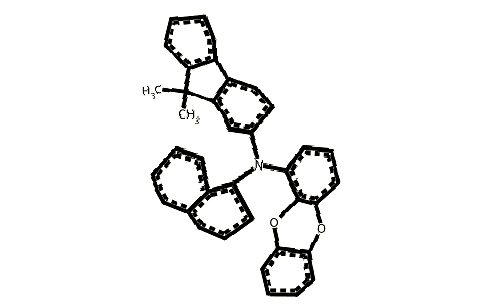 CC1(C)c2ccccc2-c2ccc(N(c3cccc4c3Oc3ccccc3O4)c3cccc4ccccc34)cc21